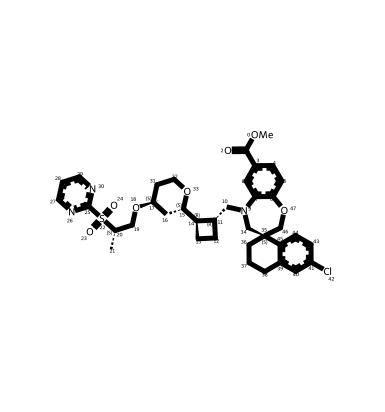 COC(=O)c1ccc2c(c1)N(C[C@@H]1CC[C@H]1[C@@H]1C[C@@H](OC[C@H](C)S(=O)(=O)c3ncccn3)CCO1)C[C@@]1(CCCc3cc(Cl)ccc31)CO2